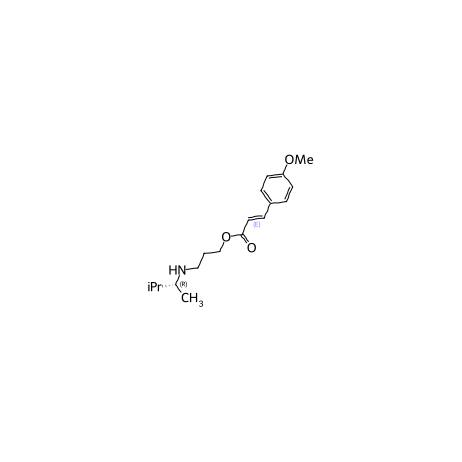 COc1ccc(/C=C/C(=O)OCCCN[C@H](C)C(C)C)cc1